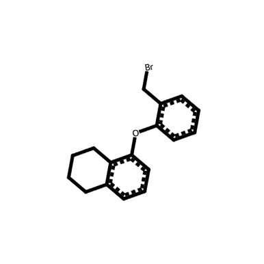 BrCc1ccccc1Oc1cccc2c1CCCC2